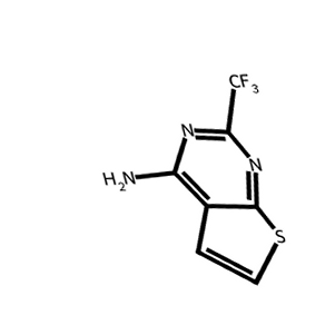 Nc1nc(C(F)(F)F)nc2sccc12